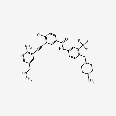 CNCc1cnc(N)c(C#Cc2cc(C(=O)Nc3ccc(CN4CCN(C)CC4)c(C(F)(F)F)c3)ccc2Cl)c1